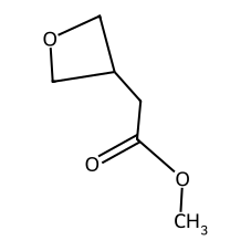 COC(=O)CC1COC1